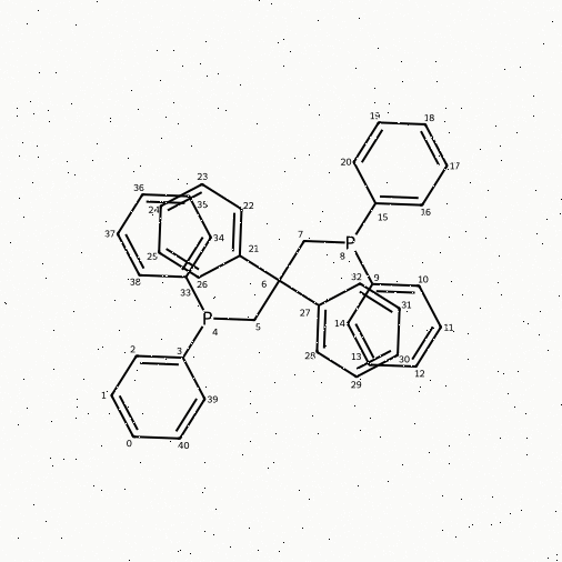 c1ccc(P(CC(CP(c2ccccc2)c2ccccc2)(c2ccccc2)c2ccccc2)c2ccccc2)cc1